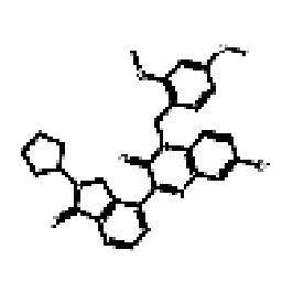 COc1ccc(Cn2c(=O)c(-c3cccc4c3CN(C3CCCC3)C4=O)nc3cc(Br)ccc32)c(OC)c1